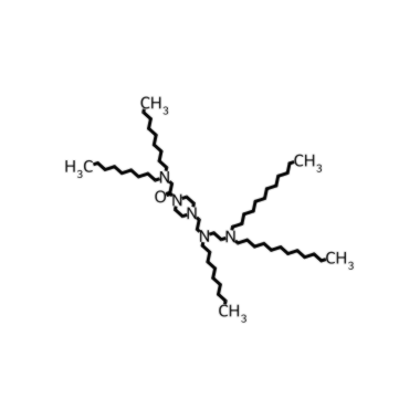 CCCCCCCCCCCCN(CCCCCCCCCCCC)CCN(CCCCCCCCC)CCN1CCN(C(=O)CN(CCCCCCCCC)CCCCCCCCC)CC1